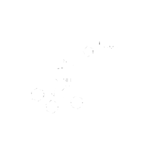 COC(=O)c1ccc(COC[C@H](NC(=O)[C@@](N)(Cc2cccc(C)c2)C(=O)C(c2ccccc2)c2ccccc2)C(N)=O)o1